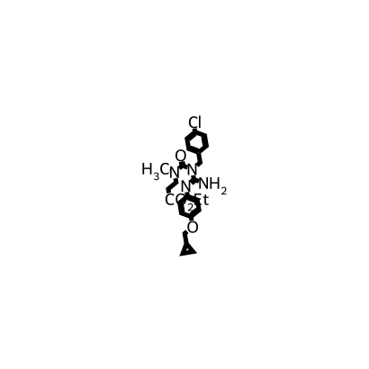 CCOC(=O)CCN(C)C(=O)N(Cc1ccc(Cl)cc1)/C(N)=N/c1ccc(OCC2CC2)cc1